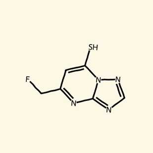 FCc1cc(S)n2ncnc2n1